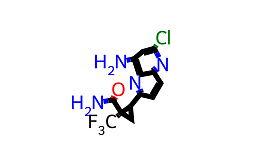 NC(=O)C1(C(F)(F)F)CC1c1ccc2nc(Cl)cc(N)c2n1